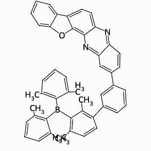 Cc1cccc(C)c1B(c1c(C)cccc1C)c1c(C)ccc(-c2cccc(-c3ccc4nc5ccc6c7ccccc7oc6c5nc4c3)c2)c1C